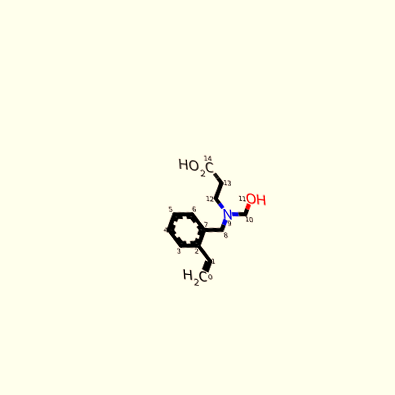 C=Cc1ccccc1CN(CO)CCC(=O)O